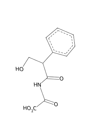 O=C(O)C(=O)NC(=O)C(CO)c1ccccc1